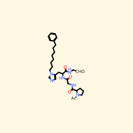 CC(=O)N1CCCC1C(=O)NCC(=O)NC(Cc1cncn1CCCCCCCCc1ccccc1)C(=O)NCC=O